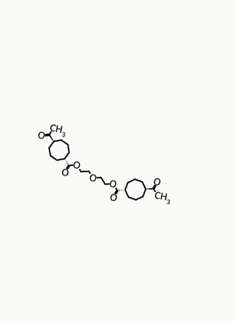 CC(=O)[C@H]1CCC[C@H](C(=O)OCCOCCOC(=O)[C@H]2CCC[C@H](C(C)=O)CCC2)CCC1